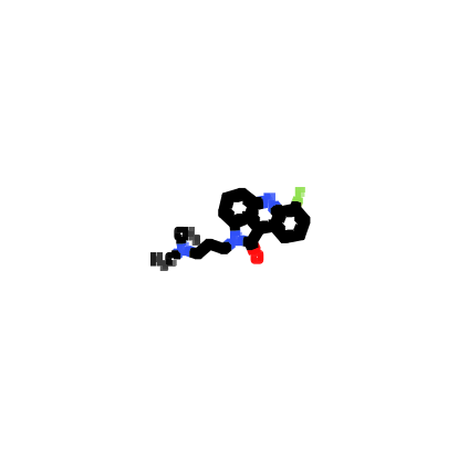 CN(C)CCCN1C(=O)c2c3cccc(F)c3nc3cccc1c23